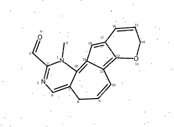 CN1C(C=O)=NC=C2CC=CC3=C4OCC=CC4=CC3=C21